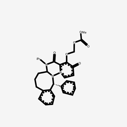 COC(=O)OCOc1c2n(ccc1=O)N1C(CCCc3ccccc3[C@H]1c1ccccc1)N(C(C)C)C2=O